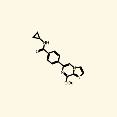 CC(C)COc1nc(-c2ccc(C(=O)NC3CC3)cc2)cn2ccnc12